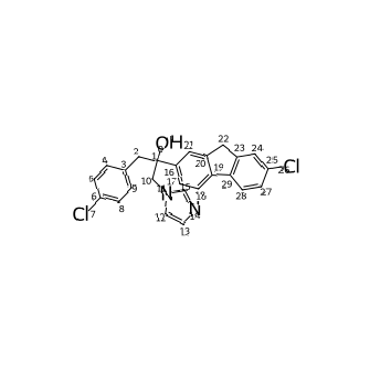 OC(Cc1ccc(Cl)cc1)(Cn1ccnc1)c1ccc2c(c1)Cc1cc(Cl)ccc1-2